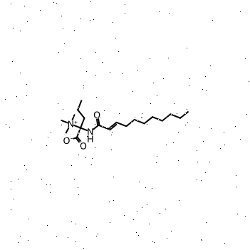 CCCCCCCCC=CC(=O)NC(CCC)(C(=O)[O-])[N+](C)(C)C